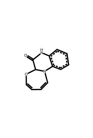 O=C1Nc2ccccc2N2C=CC=COC12